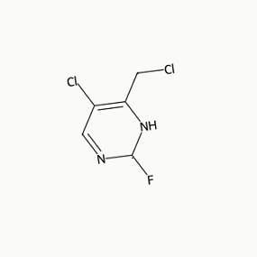 F[C]1N=CC(Cl)=C(CCl)N1